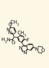 COc1ccc(C(C(N)=O)c2cc(-c3ncnc4cc(N5CCOCC5)ccc34)c(F)cc2C)nn1